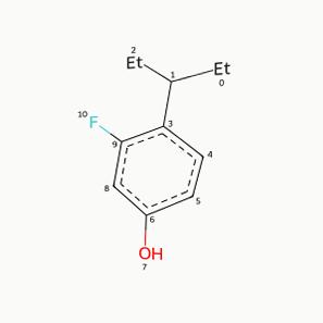 CCC(CC)c1ccc(O)cc1F